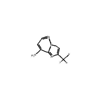 Nc1ccnn2cc(C(F)(F)F)nc12